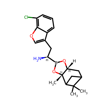 CC1(C)C2CC1[C@]1(C)OB([C@@H](N)Cc3coc4c(Cl)cccc34)O[C@@H]1C2